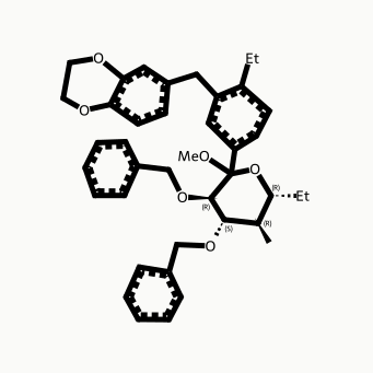 CCc1ccc(C2(OC)O[C@H](CC)[C@@H](C)[C@H](OCc3ccccc3)[C@H]2OCc2ccccc2)cc1Cc1ccc2c(c1)OCCO2